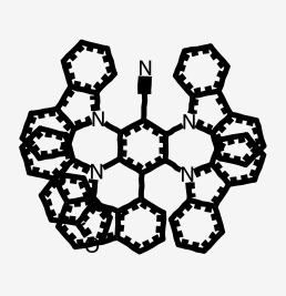 N#Cc1c(-n2c3ccccc3c3ccccc32)c(-n2c3ccccc3c3ccccc32)c(-c2cccc3oc4ccccc4c23)c(-n2c3ccccc3c3ccccc32)c1-n1c2ccccc2c2ccccc21